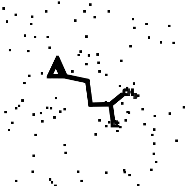 CCC(C)CCC1=CC1